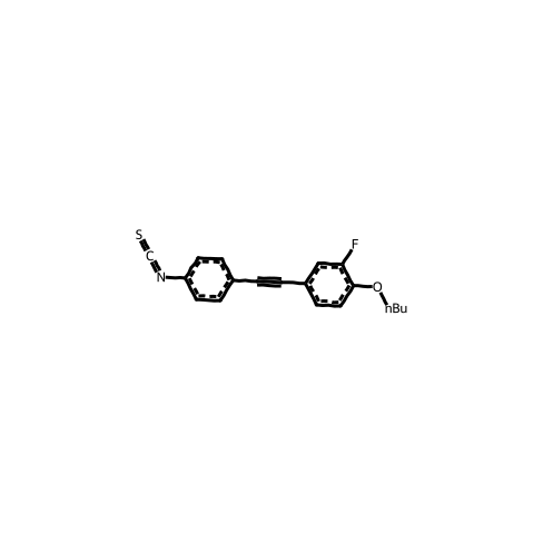 CCCCOc1ccc(C#Cc2ccc(N=C=S)cc2)cc1F